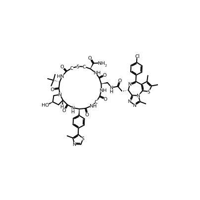 Cc1ncsc1-c1ccc([C@H]2NC(=O)[C@@H]3C[C@@H](O)CN3C(=O)[C@H](C(C)(C)C)NC(=O)CSC[C@@H](C(N)=O)NC(=O)[C@@H](CNC(=O)C[C@@H]3N=C(c4ccc(Cl)cc4)c4c(sc(C)c4C)-n4c(C)nnc43)NC(=O)CNC2=O)cc1